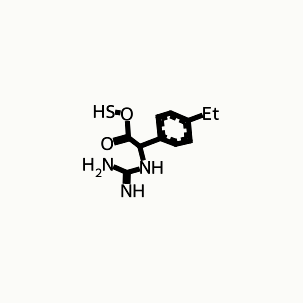 CCc1ccc(C(NC(=N)N)C(=O)OS)cc1